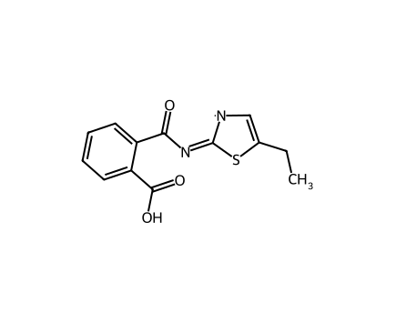 CCC1=C[N]C(=NC(=O)c2ccccc2C(=O)O)S1